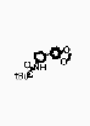 CC(C)(C)OC(=O)N[C@@H]1CCC[C@H](c2ccc3c(c2)OCCO3)C1